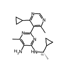 Cc1nc(-c2c(C)ncnc2C2CC2)nc(N[C@@H](C)C2CC2)c1N